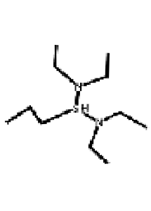 CCC[SiH](N(CC)CC)N(CC)CC